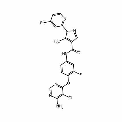 CCc1ccnc(-n2ncc(C(=O)Nc3ccc(Oc4ncnc(N)c4Cl)c(F)c3)c2C(F)(F)F)c1